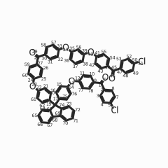 O=C(c1ccc(Cl)cc1)c1ccc(Oc2ccc(C3(c4ccc(Oc5ccc(C(=O)c6ccc(Oc7cccc(Oc8ccc(C(=O)c9ccc(Cl)cc9)cc8)c7)cc6)cc5)cc4)c4ccccc4-c4ccccc43)cc2)cc1